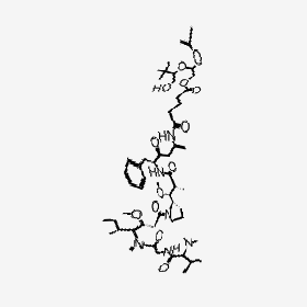 CC[C@H](C)C([C@@H](CC(=O)N1CCC[C@H]1[C@H](OC)[C@@H](C)C(=O)N[C@@H](Cc1ccccc1)C(=O)CC(C)NC(=O)CCCC(=O)OCC(OC(C)C)OC(CO)C(C)(C)C)OC)N(C)C(=O)CNC(=O)C(C(C)C)N(C)C